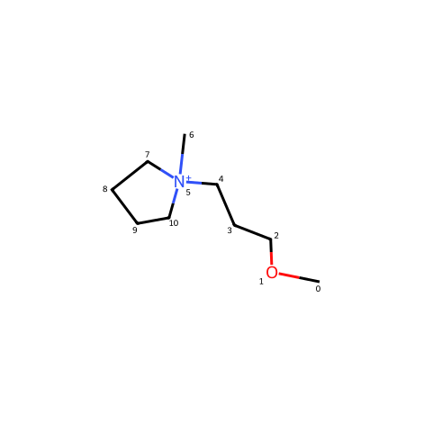 COCCC[N+]1(C)CCCC1